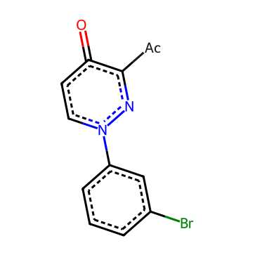 CC(=O)c1nn(-c2cccc(Br)c2)ccc1=O